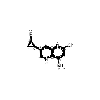 Nc1cc(Cl)nc2cc(C3CC3F)cnc12